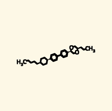 CCCCC[C@H]1CC[C@H](c2ccc(-c3ccc([C@H]4CO[C@H](CCC)CO4)cc3)cc2)CC1